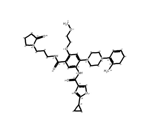 COCCOc1cc(N2CCN(C3=C(C)CCC=C3)CC2)c(NC(=O)c2coc(C3CC3)n2)cc1C(=O)NCCCN1CCCC1=O